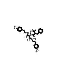 COc1ccc(CCNC(=O)C(NC(=O)C(Cc2ccccc2)C(C)=S)C(=O)NCCc2ccc(OC)cc2)cc1